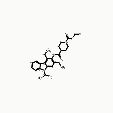 CCNC(=O)N1CCC(C(=O)Nc2c(CC)cc3c(c2CC)c2ccccc2n3C(C)C)CC1